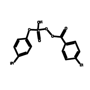 CCc1ccc(C(=O)OOP(=O)(O)Oc2ccc(C(C)C)cc2)cc1